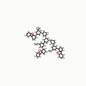 N#Cc1cc(-c2cccc(-c3cc(-c4cccc(-c5cc(C#N)cc(-c6cccc7c6oc6ccccc67)c5)c4)cc(-c4cc(C#N)cc(-c5cccc6c5oc5ccccc56)c4)c3)c2)cc(-c2cccc3c2oc2ccccc23)c1